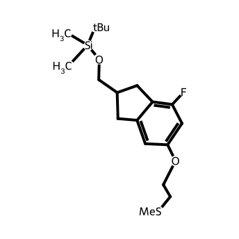 CSCCOc1cc(F)c2c(c1)CC(CO[Si](C)(C)C(C)(C)C)C2